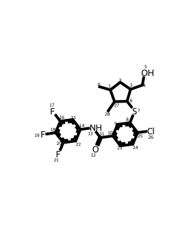 CC1CC(CO)C(Sc2cc(C(=O)Nc3cc(F)c(F)c(F)c3)ccc2Cl)C1C